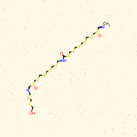 C/N=C/[S+]([O-])CSCSCSCSCSC(=O)NCSCSCSCSC[S+]([O-])/C=N\CSCSCO